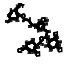 Cc1ccc(C(C)C)c(OCCC[n+]2ccn(CC(OCc3ccc(Cl)cc3Cl)c3ccc(Cl)cc3Cl)c2)c1.[Cl-]